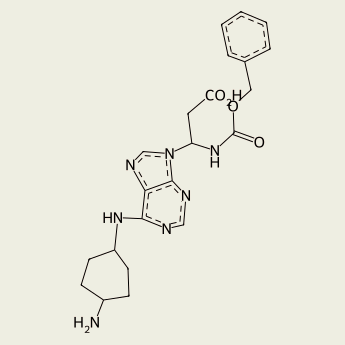 NC1CCC(Nc2ncnc3c2ncn3C(CC(=O)O)NC(=O)OCc2ccccc2)CC1